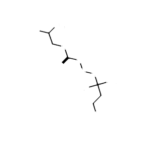 CCCC(C)(C)OOOC(=O)OCC(C)C